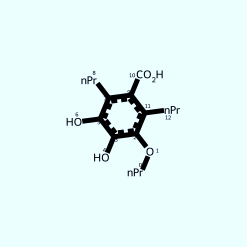 CCCOc1c(O)c(O)c(CCC)c(C(=O)O)c1CCC